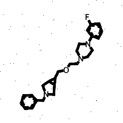 Fc1cccc(N2CCN(CCOCC3C4CN(Cc5ccccc5)CC34)CC2)c1